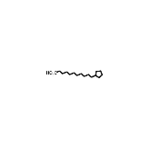 O=C(O)CCCCCCCCCCC1CCCC1